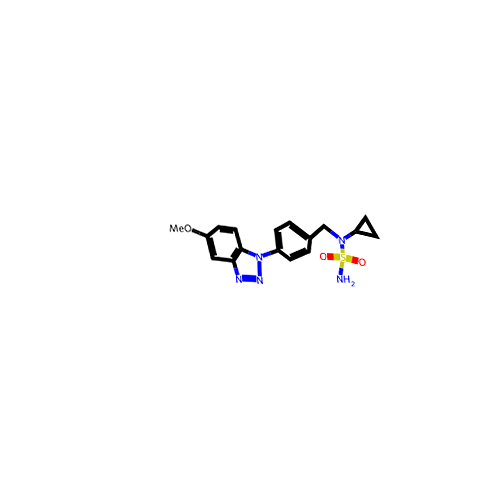 COc1ccc2c(c1)nnn2-c1ccc(CN(C2CC2)S(N)(=O)=O)cc1